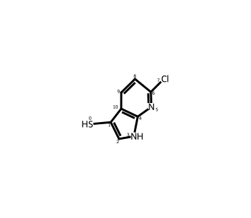 Sc1c[nH]c2nc(Cl)ccc12